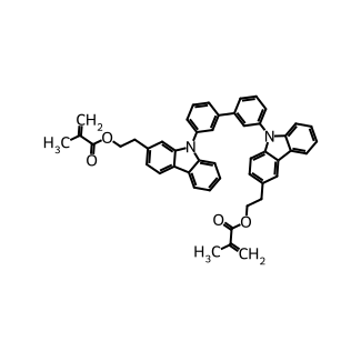 C=C(C)C(=O)OCCc1ccc2c(c1)c1ccccc1n2-c1cccc(-c2cccc(-n3c4ccccc4c4ccc(CCOC(=O)C(=C)C)cc43)c2)c1